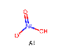 O=[N+]([O-])O.[Al]